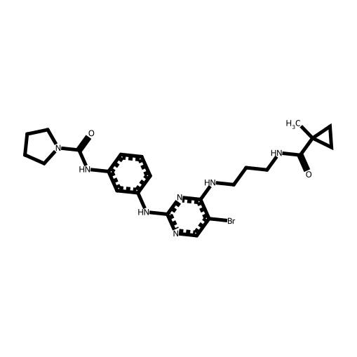 CC1(C(=O)NCCCNc2nc(Nc3cccc(NC(=O)N4CCCC4)c3)ncc2Br)CC1